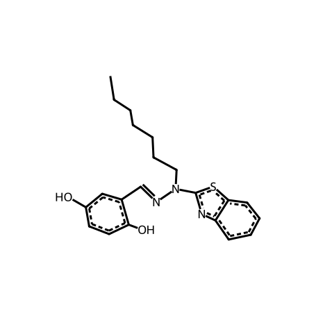 CCCCCCCN(/N=C/c1cc(O)ccc1O)c1nc2ccccc2s1